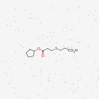 O=C(O)CCSCCC(=O)OC1CCCC1